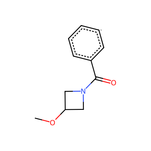 COC1CN(C(=O)c2c[c]ccc2)C1